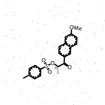 COc1ccc2cc(C(=O)[C@H](C)OS(=O)(=O)c3ccc(C)cc3)ccc2c1